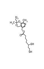 Cc1ncc(COC(=O)CCCC[C@@H](S)CCS)c2c1OC(C)(C)OC2